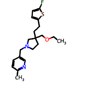 CCOCC1(CCc2ccc(F)s2)CCN(Cc2ccc(C)nc2)C1